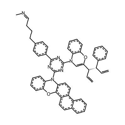 C=CC(C1=CN(c2nc(-c3ccc(CCC/C=N\C)cc3)nc(N3c4ccccc4Oc4c3ccc3c4ccc4ccccc43)n2)c2ccccc2O1)[C@@H](C=C)c1ccccc1